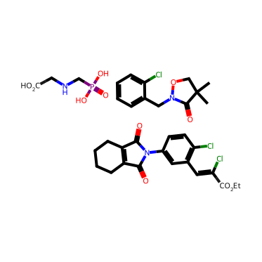 CC1(C)CON(Cc2ccccc2Cl)C1=O.CCOC(=O)/C(Cl)=C/c1cc(N2C(=O)C3=C(CCCC3)C2=O)ccc1Cl.O=C(O)CNCP(=O)(O)O